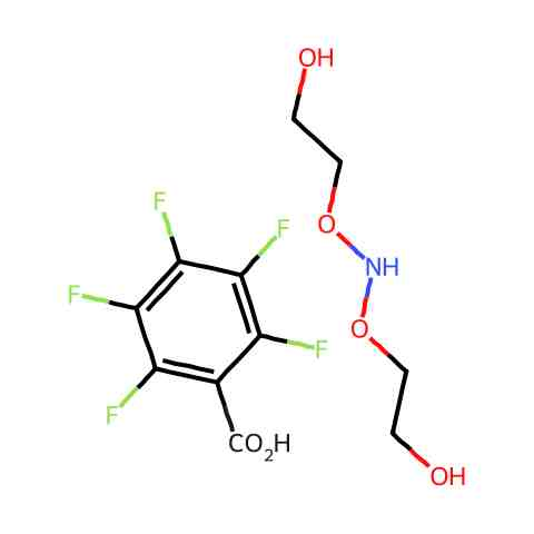 O=C(O)c1c(F)c(F)c(F)c(F)c1F.OCCONOCCO